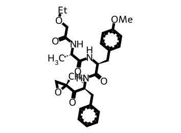 CCOCC(=O)N[C@@H](C)C(=O)N[C@@H](Cc1ccc(OC)cc1)C(=O)N[C@@H](Cc1ccccc1)C(=O)[C@@]1(C)CO1